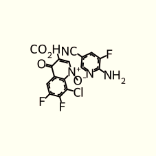 N#Cc1cc(F)c(N)nc1[N+]1([O-])C=C(C(=O)O)C(=O)c2cc(F)c(F)c(Cl)c21